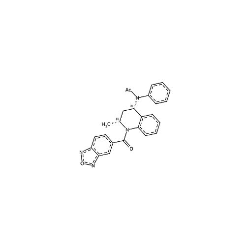 CC(=O)N(c1ccccc1)[C@H]1C[C@@H](C)N(C(=O)c2ccc3nonc3c2)c2ccccc21